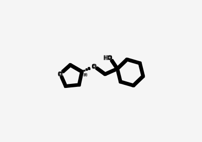 OC1(CO[C@@H]2CCOC2)CCCCC1